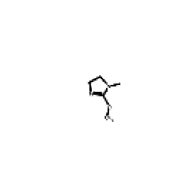 CN1C[C]N=C1OC(F)(F)F